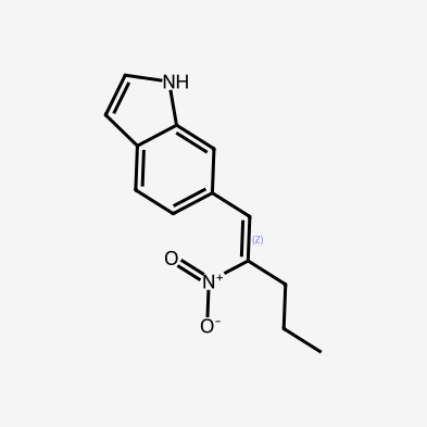 CCC/C(=C/c1ccc2cc[nH]c2c1)[N+](=O)[O-]